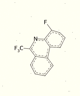 Fc1cccc2c1nc(C(F)(F)F)c1ccccc12